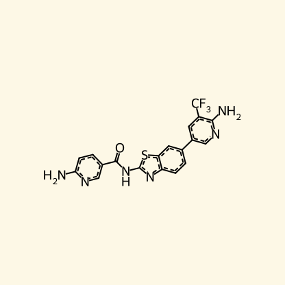 Nc1ccc(C(=O)Nc2nc3ccc(-c4cnc(N)c(C(F)(F)F)c4)cc3s2)cn1